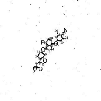 COC(=O)CC1COc2cc(O[C@@H]3CCc4c(Oc5cc(C)c(C#N)c(C)c5)ccc(F)c43)ccc21